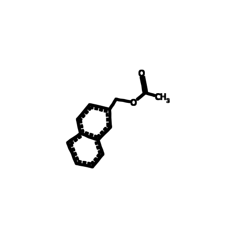 CC(=O)OCc1ccc2ccccc2c1